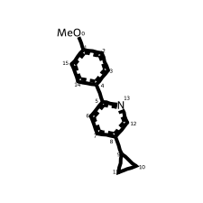 COc1ccc(-c2ccc(C3CC3)cn2)cc1